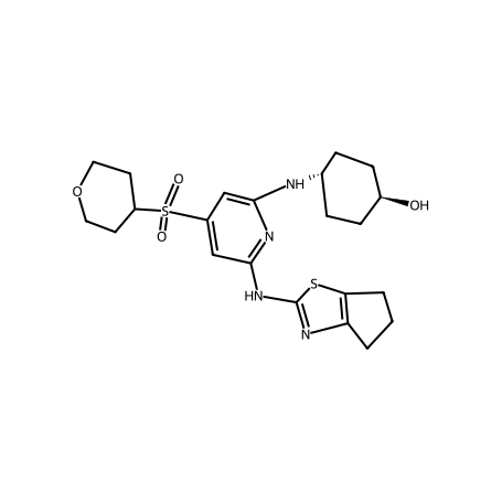 O=S(=O)(c1cc(Nc2nc3c(s2)CCC3)nc(N[C@H]2CC[C@H](O)CC2)c1)C1CCOCC1